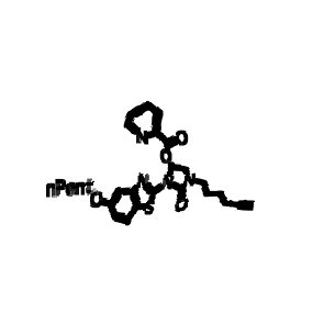 C#CCCCCN1CC(OC(=O)c2ccccn2)N(c2nc3cc(OCCCCC)ccc3s2)C1=O